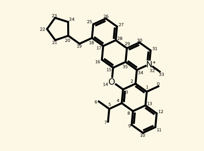 Cc1c2c(c(C(C)C)c3ccccc13)Oc1cc3c(CC4CCCC4)cccc3c3cc[n+](C)c-2c13